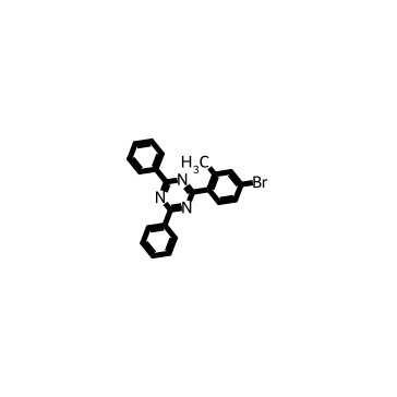 Cc1cc(Br)ccc1-c1nc(-c2ccccc2)nc(-c2ccccc2)n1